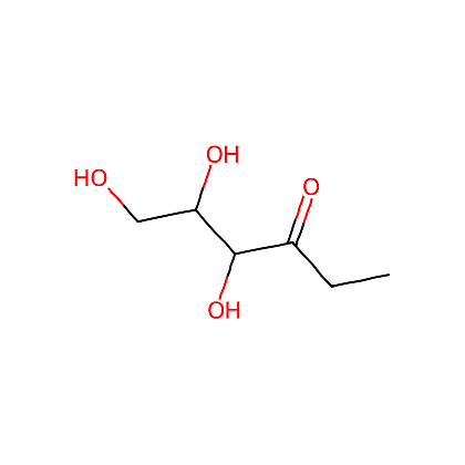 CCC(=O)C(O)C(O)CO